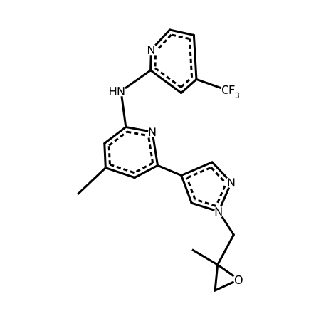 Cc1cc(Nc2cc(C(F)(F)F)ccn2)nc(-c2cnn(CC3(C)CO3)c2)c1